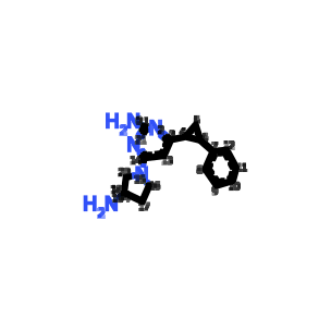 Nc1nc(C2CC2c2ccccc2)cc(N2CC[C@@H](N)C2)n1